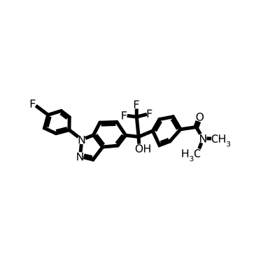 CN(C)C(=O)c1ccc(C(O)(c2ccc3c(cnn3-c3ccc(F)cc3)c2)C(F)(F)F)cc1